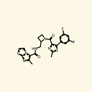 Cc1nc(C(=O)N2CCC2CNC(=O)c2c(C)nc3sccn23)c(-c2cc(F)cc(F)c2)s1